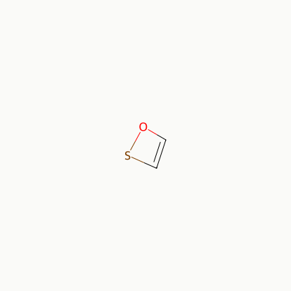 c1cso1